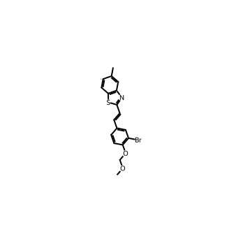 COCOc1ccc(C=Cc2nc3cc(C)[c]cc3s2)cc1Br